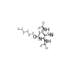 CCCCCCOc1cc(NC(C)C)c(C#N)c(NC(C)C)n1